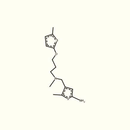 Cc1ccc(OCCCN(C)Cc2cc(N)sc2C)s1